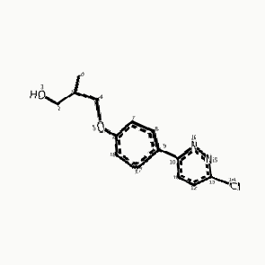 CC(CO)COc1ccc(-c2ccc(Cl)nn2)cc1